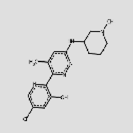 Cc1cc(NC2CCCN(C)C2)nnc1-c1ncc(Cl)cc1O